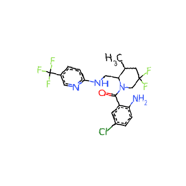 CC1CC(F)(F)CN(C(=O)c2cc(Cl)ccc2N)C1CNc1ccc(C(F)(F)F)cn1